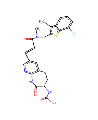 Cc1c(CN(C)C(=O)C=Cc2cnc3c(c2)CCC(NC(=O)O)C(=O)N3)sc2c(F)cccc12